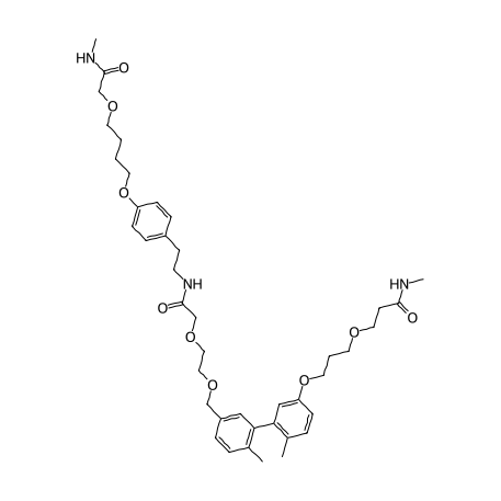 CNC(=O)CCOCCCOc1ccc(C)c(-c2cc(COCCOCC(=O)NCCc3ccc(OCCCCOCC(=O)NC)cc3)ccc2C)c1